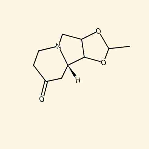 CC1OC2CN3CCC(=O)C[C@H]3C2O1